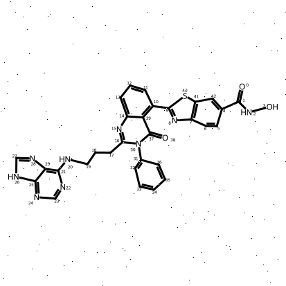 O=C(NO)c1ccc2nc(-c3cccc4nc(CCCNc5ncnc6[nH]cnc56)n(-c5ccccc5)c(=O)c34)sc2c1